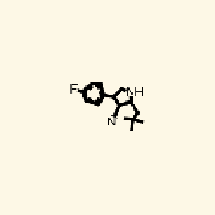 CC(C)(C)CC1NCC(c2ccc(F)cc2)C1C#N